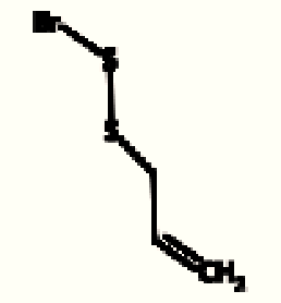 C=CCSSBr